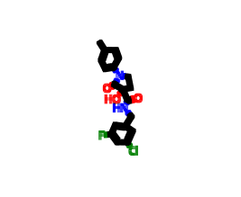 Cc1ccc(N2CCC(O)(C(=O)NCc3cc(F)cc(Cl)c3)C2=O)cc1